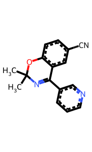 CC1(C)N=C(c2cccnc2)c2cc(C#N)ccc2O1